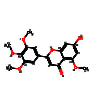 COc1cc(-c2cc(=O)c3c(OC)cc(O)cc3o2)cc(OC)c1OC